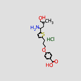 C[C@@H](CO)CC(N)c1ccc(CCCOc2ccc(C(=O)O)cc2)s1.Cl